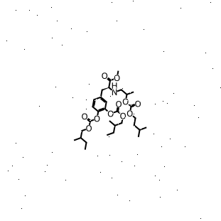 CCC(C)COC(=O)Oc1ccc(C[C@H](NCC(C)OC(=O)OCCC(C)C)C(=O)OC)cc1OC(=O)OCC(C)CC